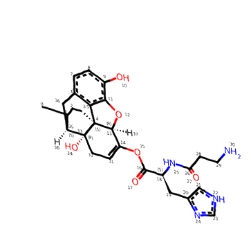 CC1CC[C@]23c4c5ccc(O)c4O[C@H]2C(OC(=O)[C@H](Cc2c[nH]cn2)NC(=O)CCN)=CC[C@@]3(O)[C@H]1C5